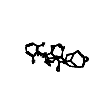 CC1(OC(=O)N2CC3COCC(C2)C3Oc2ncnc3c2ccn3-c2c(F)cccc2F)CC1